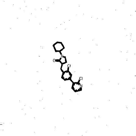 O=C1C(Cc2ccc(-c3cccnc3Cl)cc2Cl)CCN1C1CCCCC1